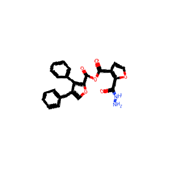 NNC(=O)c1occc1C(=O)OC(=O)c1occ(-c2ccccc2)c1-c1ccccc1